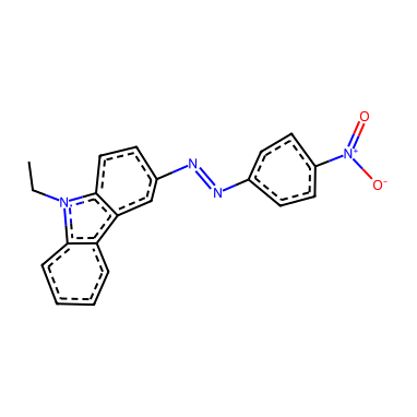 CCn1c2ccccc2c2cc(N=Nc3ccc([N+](=O)[O-])cc3)ccc21